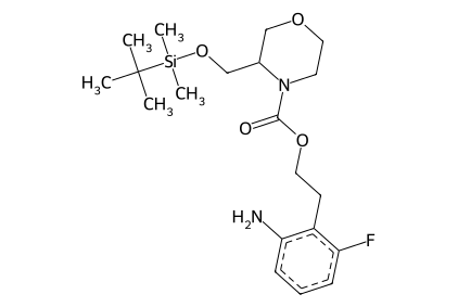 CC(C)(C)[Si](C)(C)OCC1COCCN1C(=O)OCCc1c(N)cccc1F